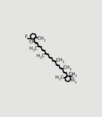 CC1=C(/C=C/C(C)=C/C=C/C(C)=C/C=C/C=C(C)/C=C/C=C(C)/C=C/C2=C(C)CCC[C@]2(C)CF)C(C)(C)CCC1